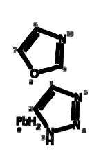 [PbH2].c1c[nH]nn1.c1cocn1